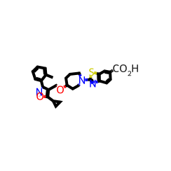 Cc1ccccc1-c1noc(C2CC2)c1COC1CCCN(c2nc3ccc(C(=O)O)cc3s2)CC1